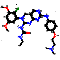 CCNC(=O)NC1=Nc2nc(Nc3ccc(OCCN(C)C)cc3)ncc2CN1c1cc(OC)cc(OC)c1Cl